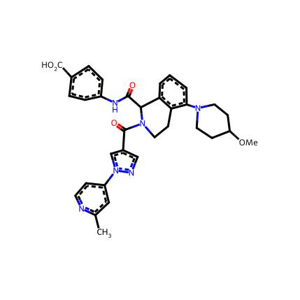 COC1CCN(c2cccc3c2CCN(C(=O)c2cnn(-c4ccnc(C)c4)c2)C3C(=O)Nc2ccc(C(=O)O)cc2)CC1